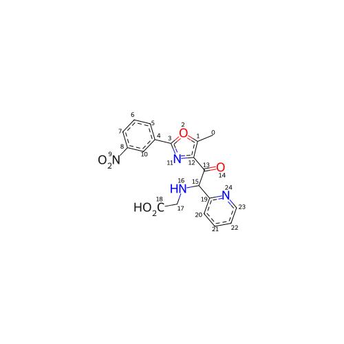 Cc1oc(-c2cccc([N+](=O)[O-])c2)nc1C(=O)C(NCC(=O)O)c1ccccn1